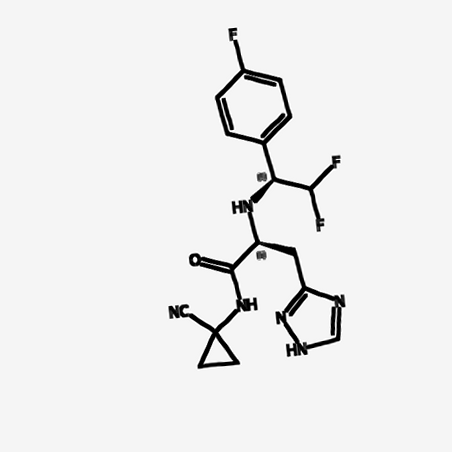 N#CC1(NC(=O)[C@H](Cc2nc[nH]n2)N[C@@H](c2ccc(F)cc2)C(F)F)CC1